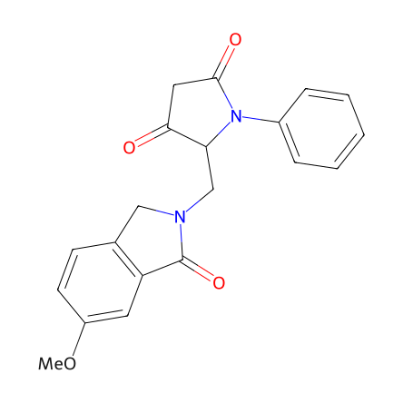 COc1ccc2c(c1)C(=O)N(CC1C(=O)CC(=O)N1c1ccccc1)C2